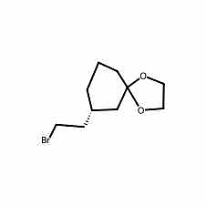 BrCC[C@@H]1CCCC2(C1)OCCO2